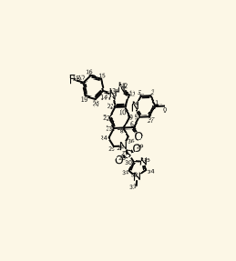 Cc1ccnc(C(=O)C23Cc4cnn(-c5ccc(F)cc5)c4C=C2CCN(S(=O)(=O)c2cn(C)cn2)C3)c1